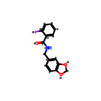 O=C(NCc1ccc2c(c1)OCO2)c1ccccc1I